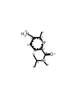 Cc1nc(C(=O)N(C)C(C)C)ccc1N